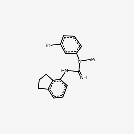 CCc1cccc(N(C(=N)Nc2cccc3c2CCC3)C(C)C)c1